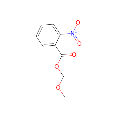 COCOC(=O)c1ccccc1[N+](=O)[O-]